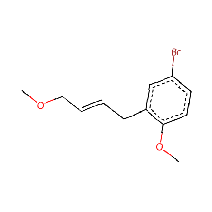 COC/C=C/Cc1cc(Br)ccc1OC